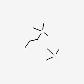 CCCCCCCCCCCC[N+](C)(C)C.CCCCCCCC[N+](C)(CCCCCCCC)CCCCCCCC